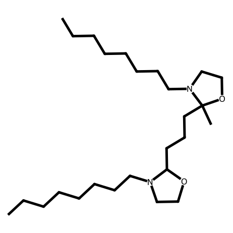 CCCCCCCCN1CCOC1CCCC1(C)OCCN1CCCCCCCC